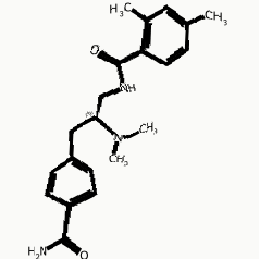 Cc1ccc(C(=O)NC[C@H](Cc2ccc(C(N)=O)cc2)N(C)C)c(C)c1